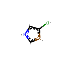 Clc1[c]ncs1